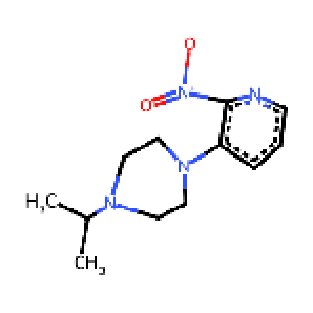 CC(C)N1CCN(c2cccnc2[N+](=O)[O-])CC1